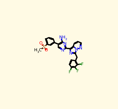 CS(=O)(=O)c1cccc(-c2cnc(-c3nc(Cc4ccc(F)c(F)c4F)n4ncccc34)nc2N)c1